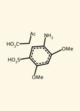 CC(=O)CC(=O)O.COc1cc(OC)c(S(=O)(=O)O)cc1N